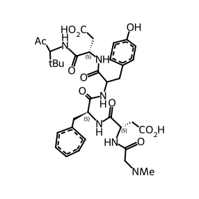 CNCC(=O)N[C@@H](CC(=O)O)C(=O)N[C@@H](Cc1ccccc1)C(=O)NC(Cc1ccc(O)cc1)C(=O)N[C@@H](CC(=O)O)C(=O)NC(C(C)=O)C(C)(C)C